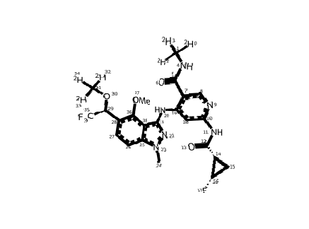 [2H]C([2H])([2H])NC(=O)c1cnc(NC(=O)[C@@H]2C[C@@H]2F)cc1Nc1nn(C)c2ccc([C@H](OC([2H])([2H])[2H])C(F)(F)F)c(OC)c12